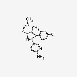 C=N/C=C\c1nc(-c2ccc(N)nc2)n(-c2ccc(Cl)cc2)c1C